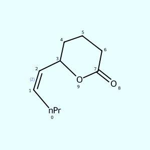 CCC/C=C\C1CCCC(=O)O1